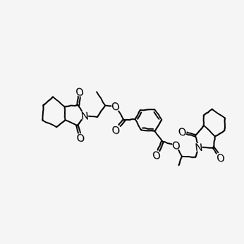 CC(CN1C(=O)C2CCCCC2C1=O)OC(=O)c1cccc(C(=O)OC(C)CN2C(=O)C3CCCCC3C2=O)c1